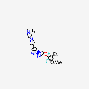 CCc1cc(OC)c(F)c(COc2cnc(Nc3ccc(C4CCN(C5CCN(C)CC5)CC4)cc3)nc2)c1F